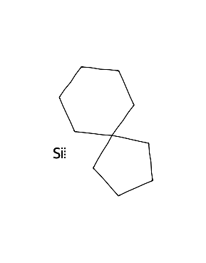 C1CCC2(CC1)CCCC2.[Si]